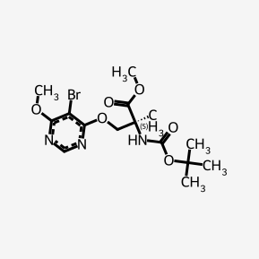 COC(=O)[C@](C)(COc1ncnc(OC)c1Br)NC(=O)OC(C)(C)C